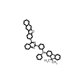 CC1(C)c2ccccc2-c2ccc(N(c3ccccc3)c3cccc(-c4nc(-c5ccc6c(c5)oc5cc7ccccc7cc56)c5ccccc5n4)c3)cc21